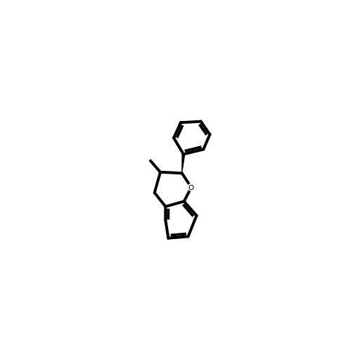 CC1Cc2ccccc2O[C@@H]1c1ccccc1